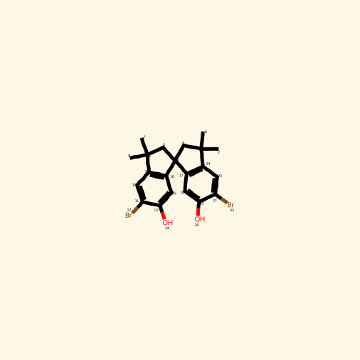 CC1(C)CC2(CC(C)(C)c3cc(Br)c(O)cc32)c2cc(O)c(Br)cc21